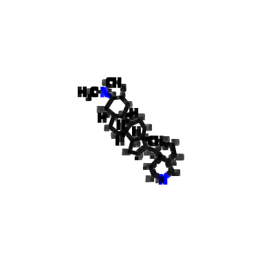 CN(C)[C@H]1CC[C@H]2[C@@H](CC[C@@H]3[C@@H]2CC[C@]2(C)C(c4cccc5cnccc45)=CC[C@@H]32)C1